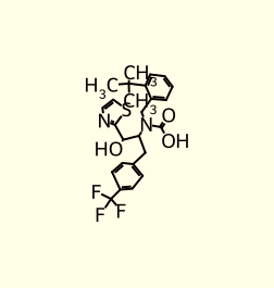 CC(C)(C)c1ccccc1CN(C(=O)O)C(Cc1ccc(C(F)(F)F)cc1)C(O)c1nccs1